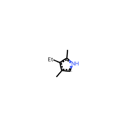 CCc1c(C)[c][nH]c1C